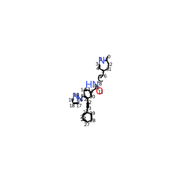 CC1=NC=CC(CCCNC(=O)c2ccc(-n3cccn3)c(C#Cc3ccccc3)c2)CC1